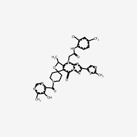 Cc1ncc(-c2nc3n(CC(=O)Nc4ccc(C(F)(F)F)cc4Cl)c4c(c(=O)n3n2)C2(CCN(C(=O)c3ncnc(C)c3O)CC2)OC4C)s1